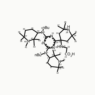 CCCCN(c1nc(N(CCCC)C2CCC(C)(C)N(C)C2(C)C)nc(C2(NCC(=O)O)CC(C)(C)NC(C)(C)C2)n1)C1CCC(C)(C)N(C)C1(C)C